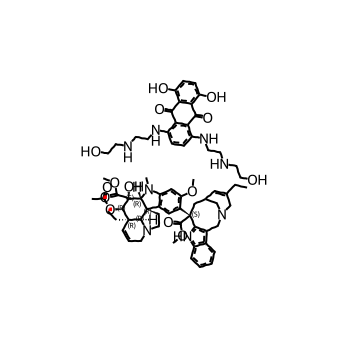 CCC1=CC2CN(C1)Cc1c([nH]c3ccccc13)[C@@](C(=O)OC)(c1cc3c(cc1OC)N(C)[C@H]1[C@@](O)(C(=O)OC)[C@H](OC(C)=O)[C@]4(CC)C=CCN5CC[C@]31[C@@H]54)C2.O=C1c2c(O)ccc(O)c2C(=O)c2c(NCCNCCO)ccc(NCCNCCO)c21